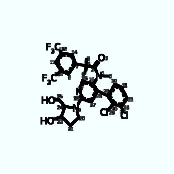 CN(C(=O)C(C)(C)c1cc(C(F)(F)F)cc(C(F)(F)F)c1)c1cnc(N2CCC(O)C2CO)cc1-c1cccc(Cl)c1Cl